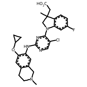 CN1CCc2cc(OC3CC3)c(Nc3ncc(Cl)c(N4CC(C)(CC(=O)O)c5ccc(F)cc54)n3)cc2C1